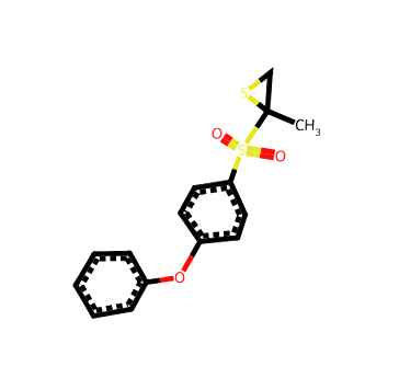 CC1(S(=O)(=O)c2ccc(Oc3ccccc3)cc2)CS1